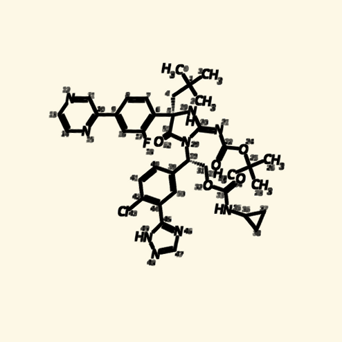 CC(C)(C)C[C@]1(c2ccc(-c3cnccn3)cc2F)N/C(=N/C(=O)OC(C)(C)C)N([C@H](COC(=O)NC2CC2)c2ccc(Cl)c(-c3ncn[nH]3)c2)C1=O